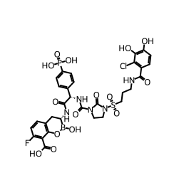 O=C(NCCCS(=O)(=O)N1CCN(C(=O)N[C@H](C(=O)N[C@H]2Cc3ccc(F)c(C(=O)O)c3OB2O)c2ccc(P(=O)(O)O)cc2)C1=O)c1ccc(O)c(O)c1Cl